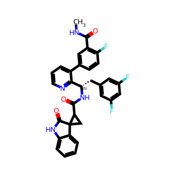 CNC(=O)c1cc(-c2cccnc2[C@H](Cc2cc(F)cc(F)c2)NC(=O)C2CC23C(=O)Nc2ccccc23)ccc1F